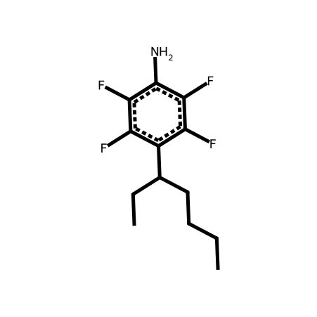 CCCCC(CC)c1c(F)c(F)c(N)c(F)c1F